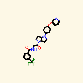 O=C(NCC(=O)N1CCC2C1CCN2C1CCC(Oc2cccnc2)CC1)c1cccc(C(F)(F)F)c1